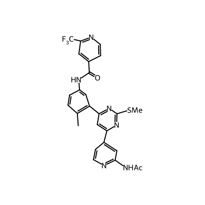 CSc1nc(-c2ccnc(NC(C)=O)c2)cc(-c2cc(NC(=O)c3ccnc(C(F)(F)F)c3)ccc2C)n1